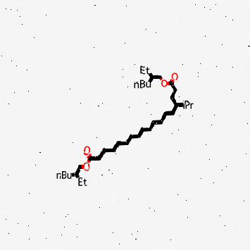 CCCCC(CC)COC(=O)CCCCCCCCCCCCCC(CCC(=O)OCC(CC)CCCC)C(C)C